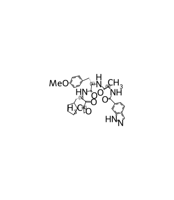 COc1ccc(C[C@H](NC(=O)[C@@H](C)NC(=O)c2ccc3cn[nH]c3c2)C(=O)N[C@@H](CC2CCCC2)C(=O)[C@@]2(C)CO2)cc1